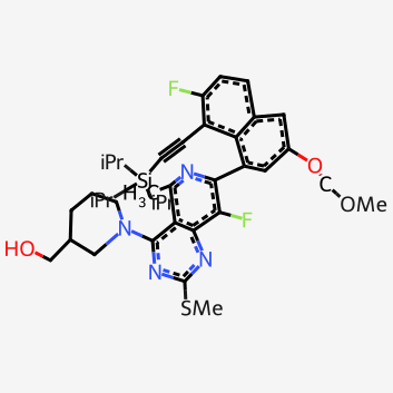 COCOc1cc(-c2nc(C)c3c(N4CCCC(CO)C4)nc(SC)nc3c2F)c2c(C#C[Si](C(C)C)(C(C)C)C(C)C)c(F)ccc2c1